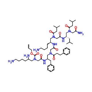 C=CCOC(=O)N(CC(=O)NC(Cc1ccccc1)CN(CC(=O)N[C@@H](CCCCN)CN(CC(=O)N[C@@H](CC(C)C)CN(CC(N)=O)C(=O)CC(C)C)C(=O)CC(C)C)C(=O)CCc1ccccc1)CC(N)CCCCN